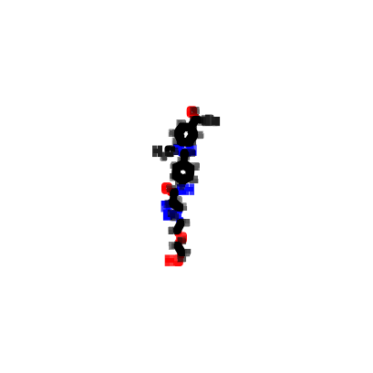 Cn1c(-c2ccc(NC(=O)c3cn(CCOCCO)nn3)cc2)nc2cc(C(=O)C(C)(C)C)ccc21